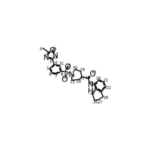 Cc1nc(-c2cccc(S(=O)(=O)N3CCC(C(=O)Nc4cccc5c4CCCC5)CC3)c2)no1